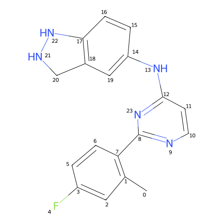 Cc1cc(F)ccc1-c1nccc(Nc2ccc3c(c2)CNN3)n1